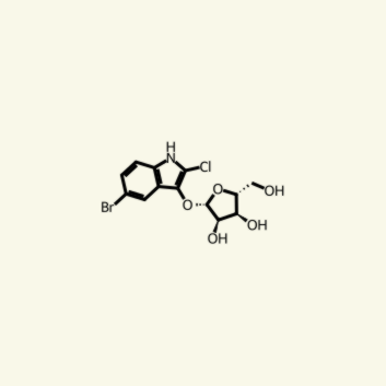 OC[C@H]1O[C@@H](Oc2c(Cl)[nH]c3ccc(Br)cc23)[C@H](O)[C@@H]1O